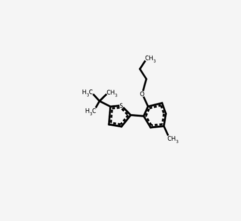 CCCOc1ccc(C)cc1-c1ccc(C(C)(C)C)s1